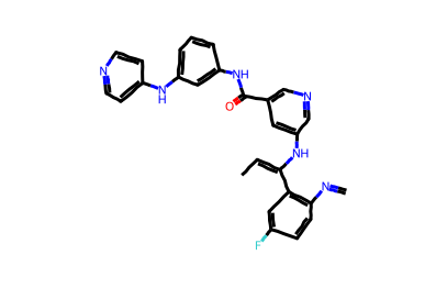 C=Nc1ccc(F)cc1/C(=C\C)Nc1cncc(C(=O)Nc2cccc(Nc3ccncc3)c2)c1